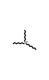 CCCCCCC[Si](C)(CCCCCCC)CCCCCCC